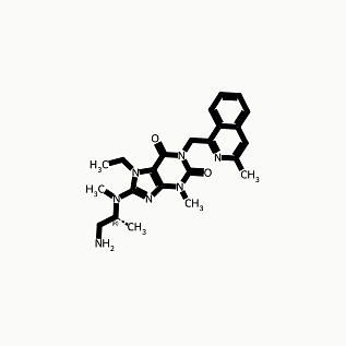 CCn1c(N(C)[C@H](C)CN)nc2c1c(=O)n(Cc1nc(C)cc3ccccc13)c(=O)n2C